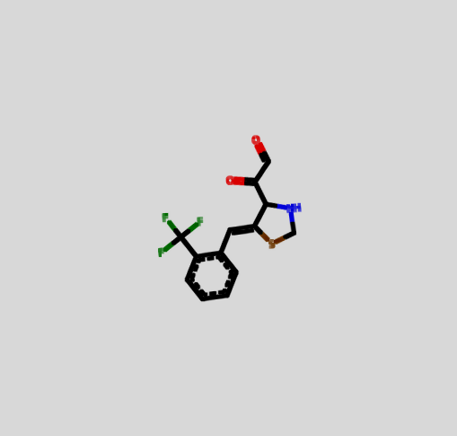 O=CC(=O)C1NCSC1=Cc1ccccc1C(F)(F)F